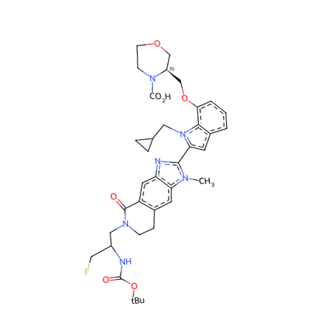 Cn1c(-c2cc3cccc(OC[C@@H]4COCCN4C(=O)O)c3n2CC2CC2)nc2cc3c(cc21)CCN(CC(CF)NC(=O)OC(C)(C)C)C3=O